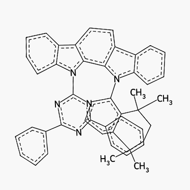 CC1(C)CCC(C)(C)c2c(-n3c4ccccc4c4ccc5c6ccccc6n(-c6nc(-c7ccccc7)nc(-c7ccccc7)n6)c5c43)cccc21